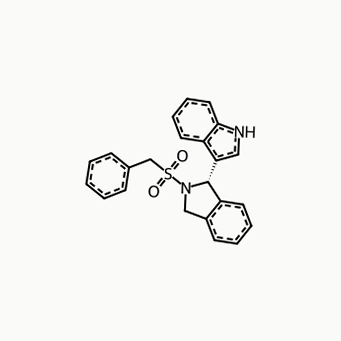 O=S(=O)(Cc1ccccc1)N1Cc2ccccc2[C@H]1c1c[nH]c2ccccc12